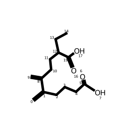 C=C(CCCC(=O)O)C(=C)CCC(CC)C(=O)O